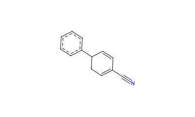 N#CC1=CCC(c2ccccc2)C=C1